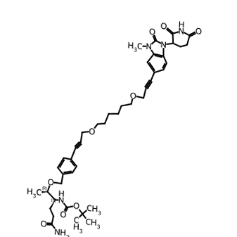 C[C@@H](OCc1ccc(C#CCOCCCCCCOCC#Cc2ccc3c(c2)n(C)c(=O)n3C2CCC(=O)NC2=O)cc1)[C@H](CCC(N)=O)NC(=O)OC(C)(C)C